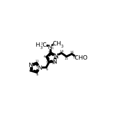 CN(C)c1cc(Cn2ccnc2)nn1CCCC=O